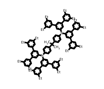 CCc1cc(CC)cc(-c2cc(-c3cc(CC)cc(CC)c3)cc(N(c3ccc(C(C)(C)c4ccc(N(c5cc(-c6cc(CC)cc(CC)c6)cc(-c6cc(CC)cc(CC)c6)c5)c5cc(-c6cc(CC)cc(CC)c6)cc(-c6cc(CC)cc(CC)c6)c5)cc4)cc3)c3cc(-c4cc(CC)cc(CC)c4)cc(-c4cc(CC)cc(CC)c4)c3)c2)c1